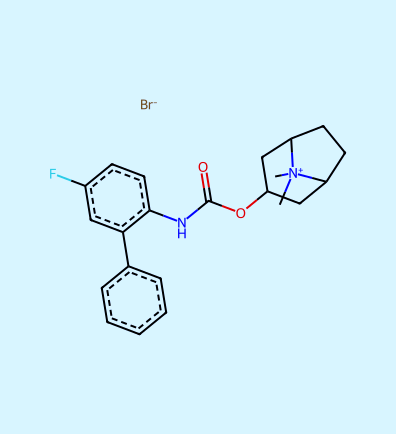 C[N+]1(C)C2CCC1CC(OC(=O)Nc1ccc(F)cc1-c1ccccc1)C2.[Br-]